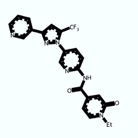 CCn1ccc(C(=O)Nc2ccc(-n3nc(-c4cccnc4)cc3C(F)(F)F)cn2)cc1=O